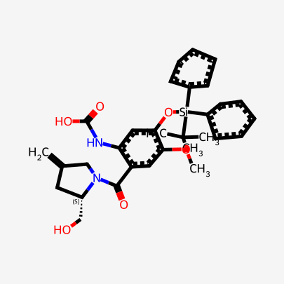 C=C1C[C@@H](CO)N(C(=O)c2cc(OC)c(O[Si](c3ccccc3)(c3ccccc3)C(C)(C)C)cc2NC(=O)O)C1